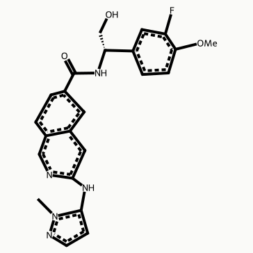 COc1ccc([C@@H](CO)NC(=O)c2ccc3cnc(Nc4ccnn4C)cc3c2)cc1F